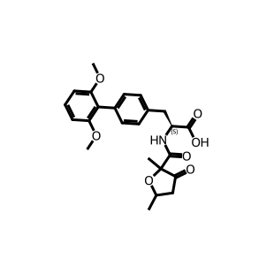 COc1cccc(OC)c1-c1ccc(C[C@H](NC(=O)C2(C)OC(C)CC2=O)C(=O)O)cc1